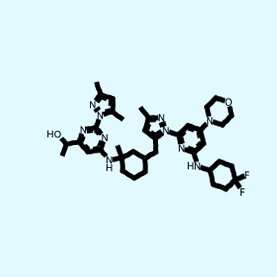 Cc1cc(C)n(-c2nc(NC3(C)CCCC(Cc4cc(C)nn4-c4cc(N5CCOCC5)cc(NC5CCC(F)(F)CC5)n4)C3)cc(C(C)O)n2)n1